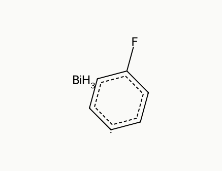 Fc1cc[c]cc1.[BiH3]